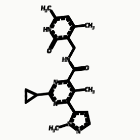 Cc1cc(C)c(CNC(=O)c2nc(C3CC3)nc(-c3ccnn3C)c2C)c(=O)[nH]1